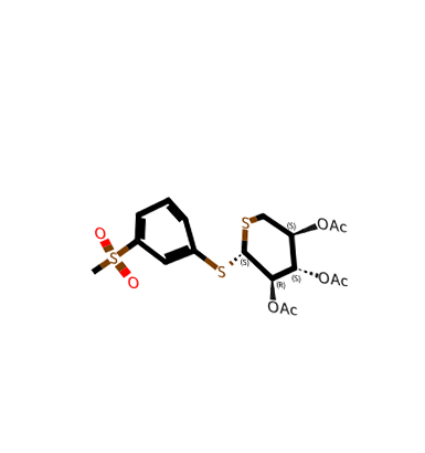 CC(=O)O[C@@H]1[C@@H](OC(C)=O)[C@H](Sc2cccc(S(C)(=O)=O)c2)SC[C@H]1OC(C)=O